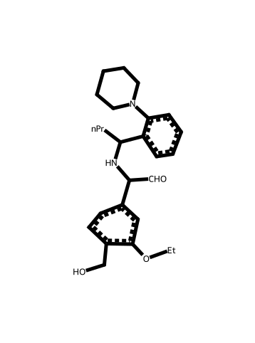 CCCC(NC(C=O)c1ccc(CO)c(OCC)c1)c1ccccc1N1CCCCC1